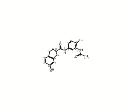 CC(=O)Nc1cc(NC(=O)N2CCc3ccc(O)cc3C2)ccc1F